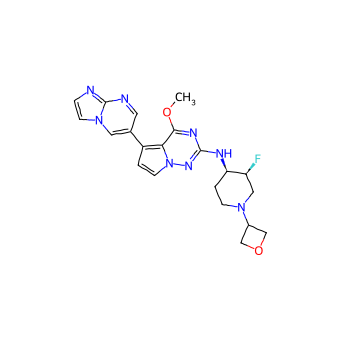 COc1nc(N[C@@H]2CCN(C3COC3)C[C@@H]2F)nn2ccc(-c3cnc4nccn4c3)c12